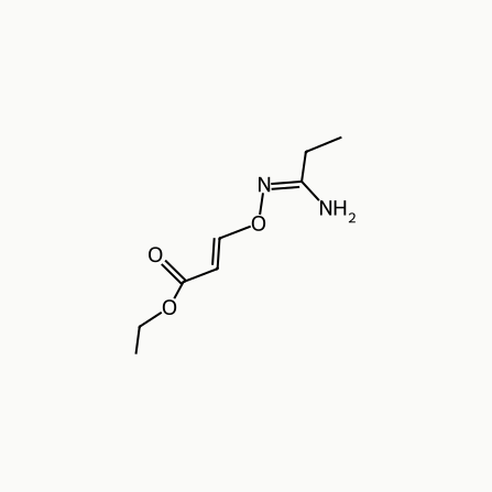 CCOC(=O)C=CON=C(N)CC